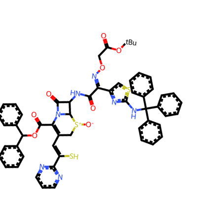 CC(C)(C)OC(=O)CON=C(C(=O)NC1C(=O)N2C(C(=O)OC(c3ccccc3)c3ccccc3)=C(C=C(S)c3ncccn3)C[S+]([O-])C12)c1csc(NC(c2ccccc2)(c2ccccc2)c2ccccc2)n1